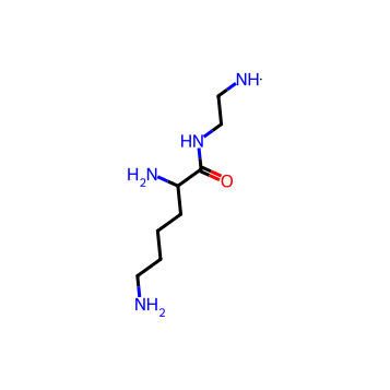 [NH]CCNC(=O)C(N)CCCCN